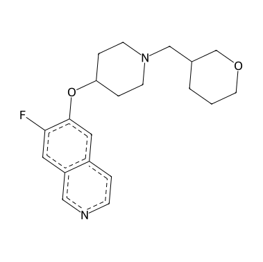 Fc1cc2cnccc2cc1OC1CCN(CC2CCCOC2)CC1